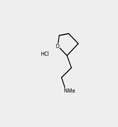 CNCCC1CCCO1.Cl